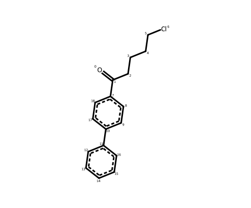 O=C(CCCCCl)c1ccc(-c2ccccc2)cc1